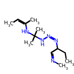 C/C=C(/C)NC(C)(C)N/N=N\C(/C=N\C)CC